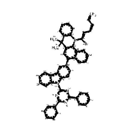 C=C/C=C\C=C(/Br)N1c2ccccc2C(C)(C)c2cc(-c3ccc4c(c3)c3ccccc3n4-c3nc(-c4ccccc4)nc(-c4ccccc4)n3)c3ccccc3c21